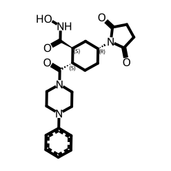 O=C(NO)[C@H]1C[C@H](N2C(=O)CCC2=O)CC[C@@H]1C(=O)N1CCN(c2ccccc2)CC1